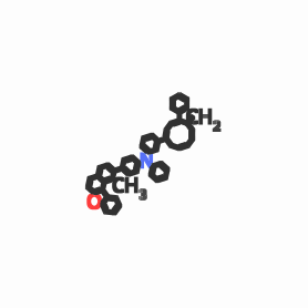 C=C1/C=C\C=C/C/C(c2cccc(N(c3ccccc3)c3ccc(-c4ccc5ccc6oc7ccccc7c6c5c4C)cc3)c2)=C\C=C/1c1ccccc1